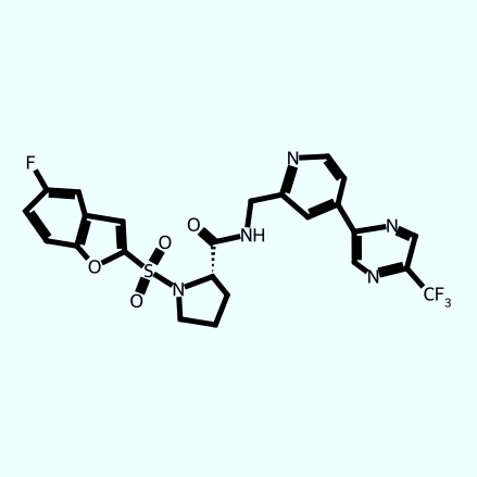 O=C(NCc1cc(-c2cnc(C(F)(F)F)cn2)ccn1)[C@@H]1CCCN1S(=O)(=O)c1cc2cc(F)ccc2o1